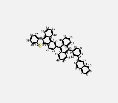 c1cc(-c2ccc3ccccc3c2)cc(-c2c3ccccc3c(-c3ccc4c(c3)c3ccccc3c3c5ccccc5sc43)c3ccccc23)c1